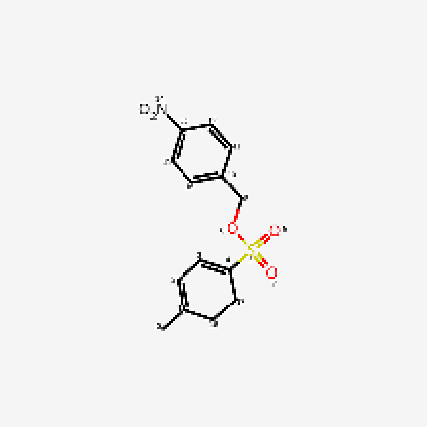 CC1=CC=C(S(=O)(=O)OCc2ccc([N+](=O)[O-])cc2)CC1